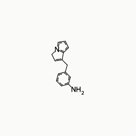 Nc1cccc(CC2=CCn3cccc32)c1